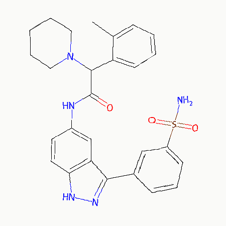 Cc1ccccc1C(C(=O)Nc1ccc2[nH]nc(-c3cccc(S(N)(=O)=O)c3)c2c1)N1CCCCC1